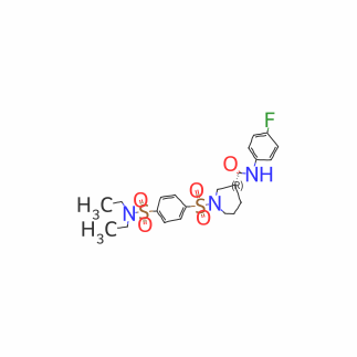 CCN(CC)S(=O)(=O)c1ccc(S(=O)(=O)N2CCC[C@@H](C(=O)Nc3ccc(F)cc3)C2)cc1